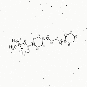 CC(C)(C)OC(=O)N1CCC(OCCOC2CCCCO2)CC1